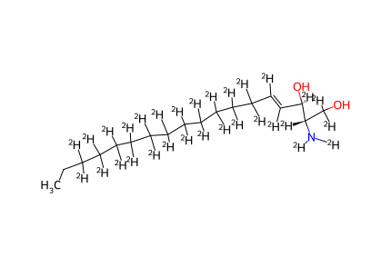 [2H]/C(=C(/[2H])[C@@]([2H])(O)[C@@]([2H])(N([2H])[2H])C([2H])([2H])O)C([2H])([2H])C([2H])([2H])C([2H])([2H])C([2H])([2H])C([2H])([2H])C([2H])([2H])C([2H])([2H])C([2H])([2H])C([2H])([2H])C([2H])([2H])C([2H])([2H])CC